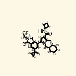 Cc1c(C(=O)NC2CCC2)cc(-c2cc(C(=O)NCC(F)(F)F)cc(C3(C)CC3)c2)n1CC1CCCCC1